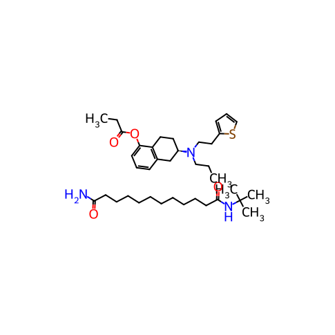 CC(C)(C)NC(=O)CCCCCCCCCCC(N)=O.CCCN(CCc1cccs1)[C@@H]1CCc2c(cccc2OC(=O)CC)C1